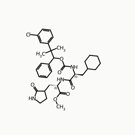 COC(=O)[C@H](CC1CCNC1=O)NC(=O)[C@H](CC1CCCCC1)NC(=O)OC(c1ccccc1)C(C)(C)c1cccc(Cl)c1